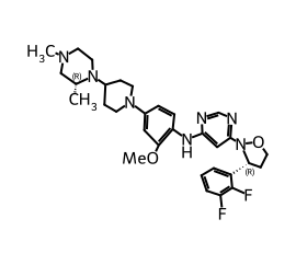 COc1cc(N2CCC(N3CCN(C)C[C@H]3C)CC2)ccc1Nc1cc(N2OCC[C@@H]2c2cccc(F)c2F)ncn1